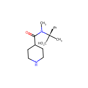 CC(C)[C@@](C)(C(=O)O)N(C)C(=O)C1CCNCC1